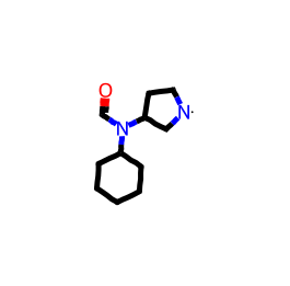 O=CN(C1CCCCC1)C1CC[N]C1